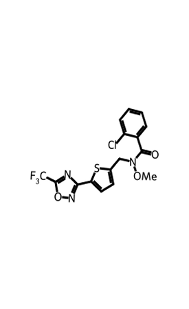 CON(Cc1ccc(-c2noc(C(F)(F)F)n2)s1)C(=O)c1ccccc1Cl